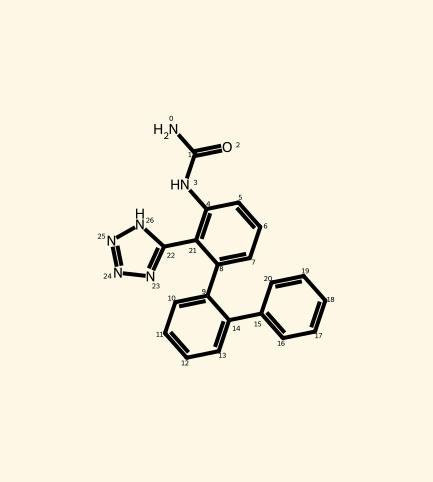 NC(=O)Nc1cccc(-c2ccccc2-c2ccccc2)c1-c1nnn[nH]1